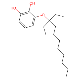 CCCCCCCCC(CC)(CC)Oc1cccc(O)c1O